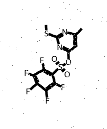 CSc1nc(C)cc(OS(=O)(=O)c2c(F)c(F)c(F)c(F)c2F)n1